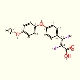 COc1ccc(Oc2ccc(C(I)=C(I)C(=O)O)cc2)cc1